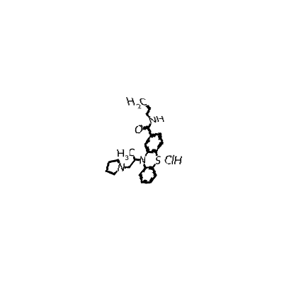 C=CCNC(=O)c1ccc2c(c1)N(C(C)CN1CCCC1)c1ccccc1S2.Cl